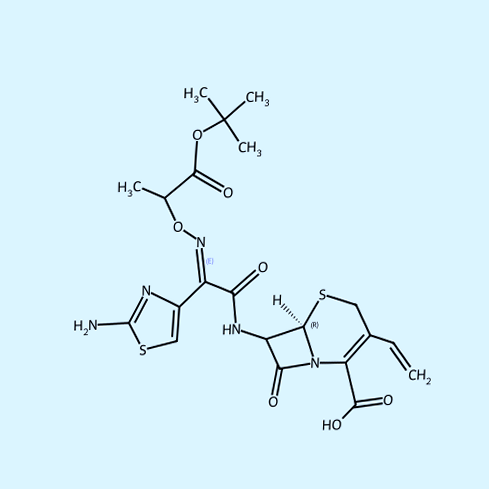 C=CC1=C(C(=O)O)N2C(=O)C(NC(=O)/C(=N/OC(C)C(=O)OC(C)(C)C)c3csc(N)n3)[C@H]2SC1